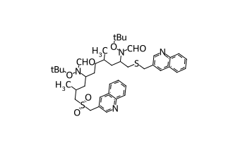 CC(CCC(CC(C)CS(=O)(=O)Cc1cnc2ccccc2c1)N(C=O)OC(C)(C)C)CC(CSCc1cnc2ccccc2c1)N(C=O)OC(C)(C)C